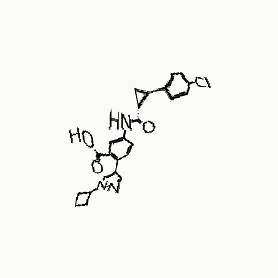 O=C(O)c1cc(NC(=O)[C@@H]2C[C@H]2c2ccc(Cl)cc2)ccc1-c1cnn(C2CCC2)c1